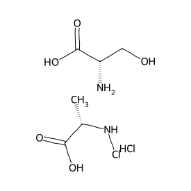 C[C@H](NCl)C(=O)O.Cl.N[C@@H](CO)C(=O)O